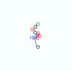 CC(CCCCc1ccccc1)NC(=O)n1c(=O)oc2cc(C(=O)c3ccc(Cl)cc3)ccc21